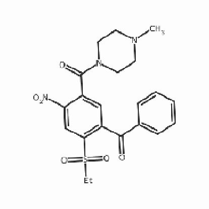 CCS(=O)(=O)c1cc([N+](=O)[O-])c(C(=O)N2CCN(C)CC2)cc1C(=O)c1ccccc1